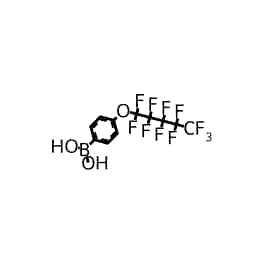 OB(O)c1ccc(OC(F)(F)C(F)(F)C(F)(F)C(F)(F)C(F)(F)F)cc1